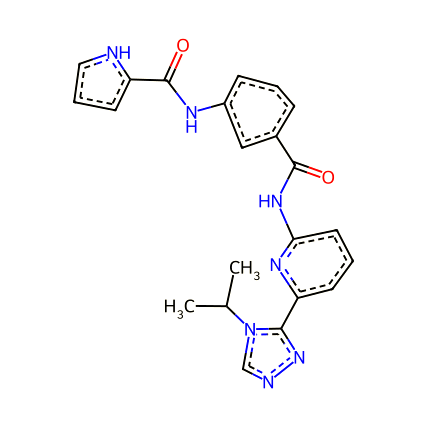 CC(C)n1cnnc1-c1cccc(NC(=O)c2cccc(NC(=O)c3ccc[nH]3)c2)n1